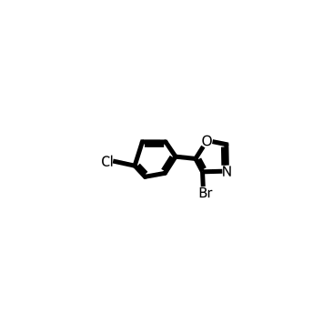 Clc1ccc(-c2ocnc2Br)cc1